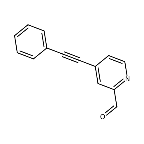 O=Cc1cc(C#Cc2ccccc2)ccn1